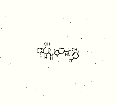 Cc1cccc(Cl)c1NC(=O)c1ccc2nc(NC(=O)NC3C(CO)C4CC[C@H]3C4)sc2c1